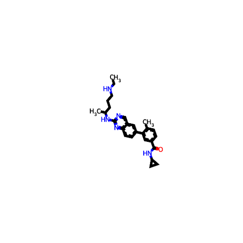 CCNCCCC(C)Nc1ncc2cc(-c3cc(C(=O)NC4CC4)ccc3C)ccc2n1